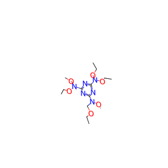 CCOCN(OC)c1nc(N(OC)OCC)nc(N(OCC)OCC)n1